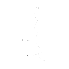 CC(=O)OC1(OC(C)=O)OC1C(N)CCCCN